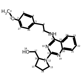 COc1ccc(CCNc2nc(N3CCCC3CO)nc3ccccc23)cc1